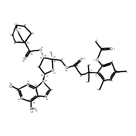 CC(=O)Oc1cc(C)cc(C)c1C(C)(C)CC(=O)OC[C@@]1(C)O[C@@H](n2cnc3c(N)nc(Cl)nc32)C[C@@H]1OC(=O)C12CCC(CC1)CC2